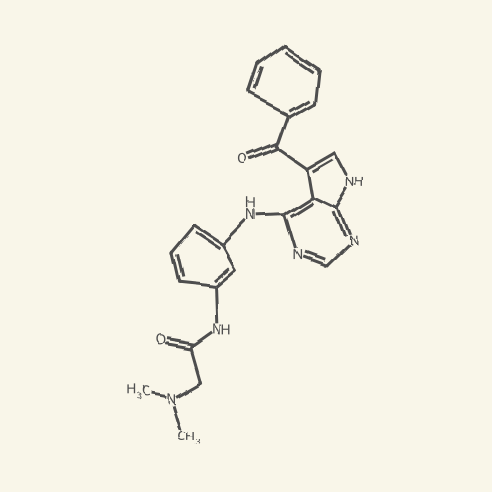 CN(C)CC(=O)Nc1cccc(Nc2ncnc3[nH]cc(C(=O)c4ccccc4)c23)c1